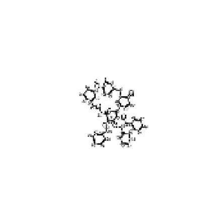 COc1ccc(Cc2cc([C@@H]3S[C@H](COCc4ccccc4)[C@@H](OCc4ccccc4)[C@H](OCc4ccccc4)[C@H]3OCc3ccccc3)ccc2Cl)cc1